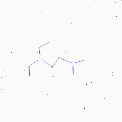 CCN(CC)CCN(C)I